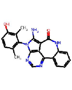 Cc1ccc(O)c(C)c1-n1c(N)c2c3c(ncnc31)-c1ccccc1NC2=O